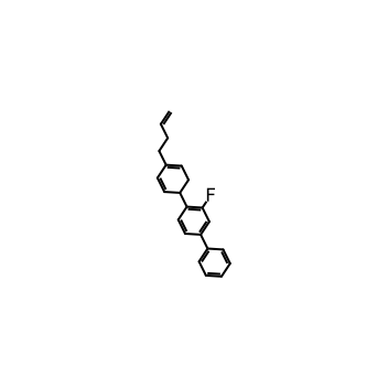 C=CCCC1=CCC(c2ccc(-c3ccccc3)cc2F)C=C1